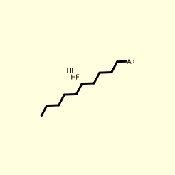 CCCCCCCCC[CH2][Al].F.F